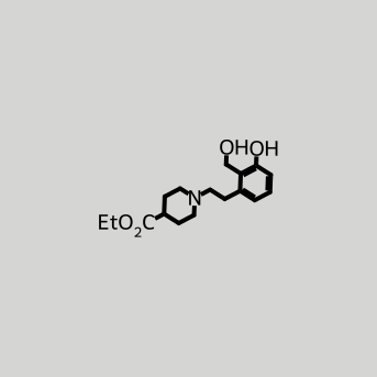 CCOC(=O)C1CCN(CCc2cccc(O)c2CO)CC1